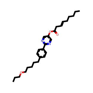 CCCCCC=CCC(=O)Oc1cnc(-c2ccc(CCCCCOCCC)cc2)nc1